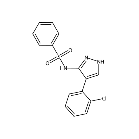 O=S(=O)(Nc1n[nH]cc1-c1ccccc1Cl)c1ccccc1